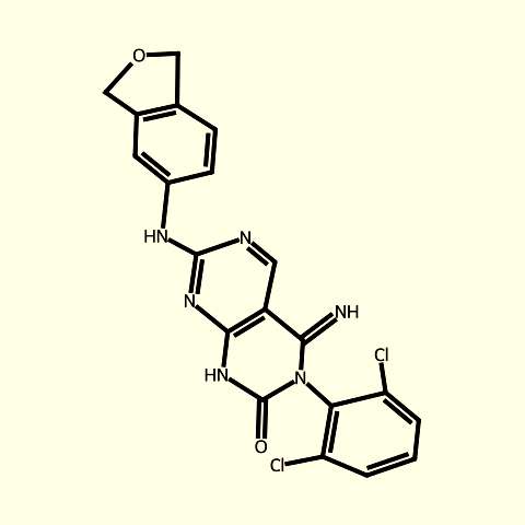 N=c1c2cnc(Nc3ccc4c(c3)COC4)nc2[nH]c(=O)n1-c1c(Cl)cccc1Cl